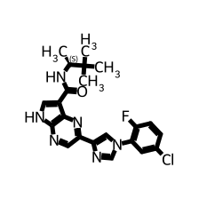 C[C@H](NC(=O)c1c[nH]c2ncc(-c3cn(-c4cc(Cl)ccc4F)cn3)nc12)C(C)(C)C